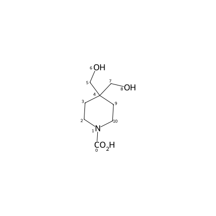 O=C(O)N1CCC(CO)(CO)CC1